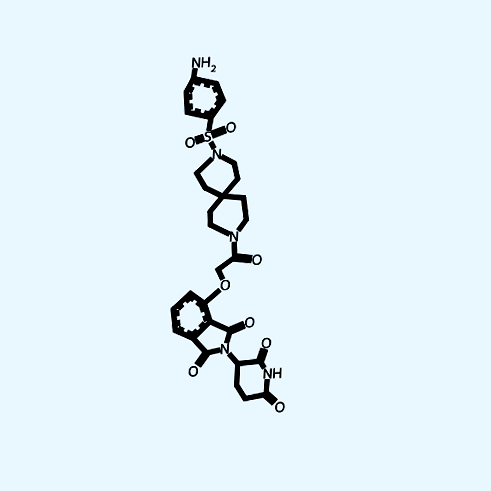 Nc1ccc(S(=O)(=O)N2CCC3(CCN(C(=O)COc4cccc5c4C(=O)N(C4CCC(=O)NC4=O)C5=O)CC3)CC2)cc1